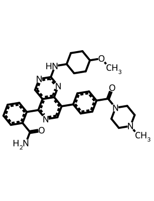 COC1CCC(Nc2ncc3c(-c4ccccc4C(N)=O)ncc(-c4ccc(C(=O)N5CCN(C)CC5)cc4)c3n2)CC1